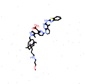 COCCCNCCCC12CC3(C)CC4(Cn5ncc(-c6ccc(N7CCCc8c7nnc(Nc7nc9ccccc9s7)c8C)nc6C(=O)O)c5C)CC(C)(C1)C2(C3)C4